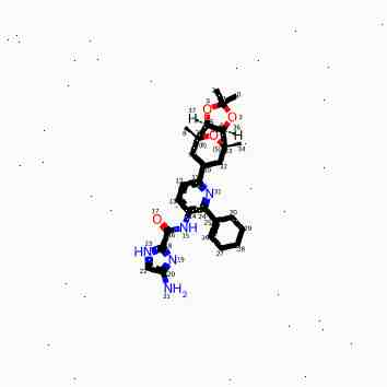 CC1(C)O[C@@H]2[C@H](O1)[C@@]1(C)CC(c3ccc(NC(=O)c4nc(N)c[nH]4)c(C4=CCCCC4)n3)C[C@]2(C)O1